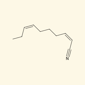 CC/C=C\CCC/C=C\C#N